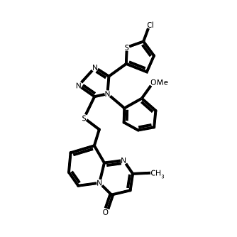 COc1ccccc1-n1c(SCc2cccn3c(=O)cc(C)nc23)nnc1-c1ccc(Cl)s1